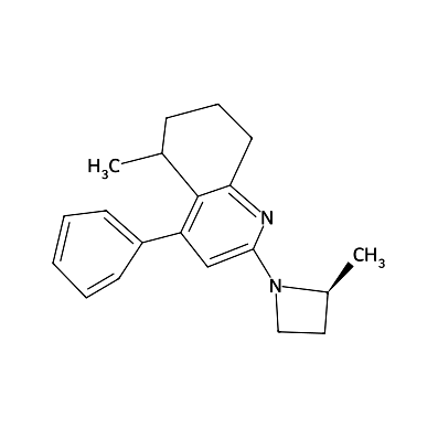 CC1CCCc2nc(N3CC[C@@H]3C)cc(-c3ccccc3)c21